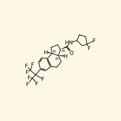 O=C(NC1CCC(F)(F)C1)[C@@H]1CC[C@H]2c3ccc(C(F)(C(F)(F)F)C(F)(F)F)cc3CC[C@@H]12